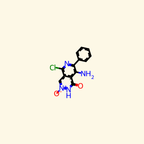 Nc1c(-c2ccccc2)nc(Cl)c2c[n+]([O-])[nH]c(=O)c12